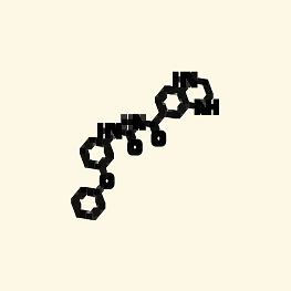 O=C(NC(=O)c1ccc2c(c1)NCCN2)Nc1cccc(Oc2ccccc2)c1